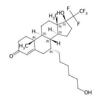 C[C@]12CCC(=O)C=C1C[C@@H](CCCCCCO)[C@@H]1[C@@H]2CC[C@@]2(C)[C@H]1CC[C@@]2(O)C(F)(F)C(F)(F)F